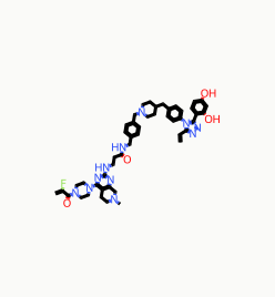 C=Cc1nnc(-c2ccc(O)cc2O)n1-c1ccc(CC2CCN(Cc3ccc(CNC(=O)CCNc4nc5c(c(N6CCN(C(=O)C(=C)F)CC6)n4)CCN(C)C5)cc3)CC2)cc1